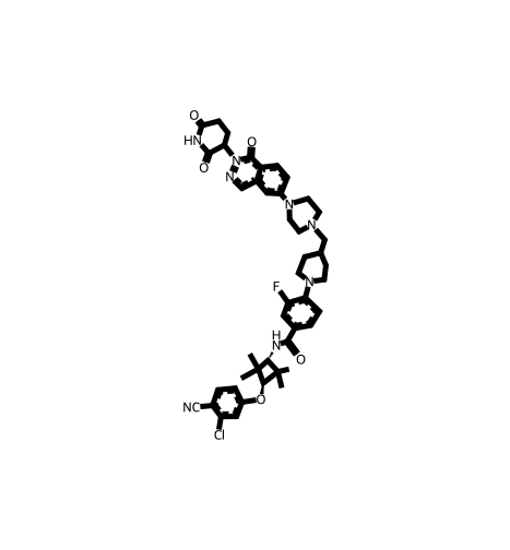 CC1(C)[C@H](NC(=O)c2ccc(N3CCC(CN4CCN(c5ccc6c(=O)n(C7CCC(=O)NC7=O)ncc6c5)CC4)CC3)c(F)c2)C(C)(C)[C@H]1Oc1ccc(C#N)c(Cl)c1